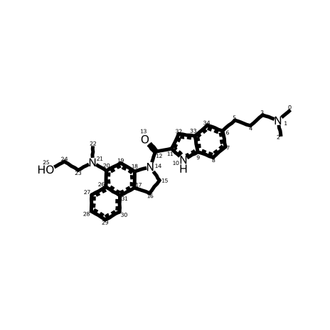 CN(C)CCCc1ccc2[nH]c(C(=O)N3CCc4c3cc(N(C)CCO)c3ccccc43)cc2c1